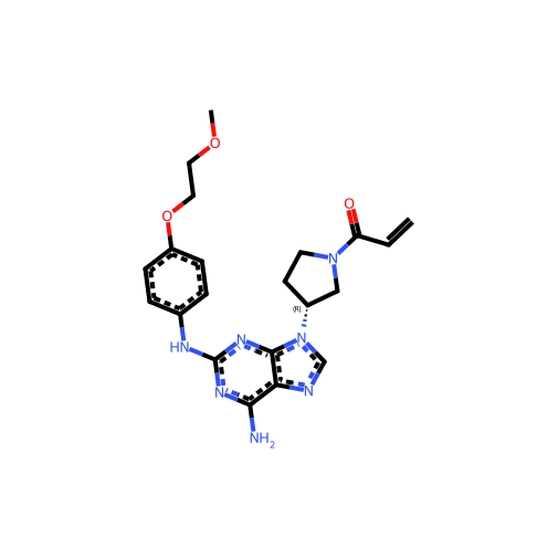 C=CC(=O)N1CC[C@@H](n2cnc3c(N)nc(Nc4ccc(OCCOC)cc4)nc32)C1